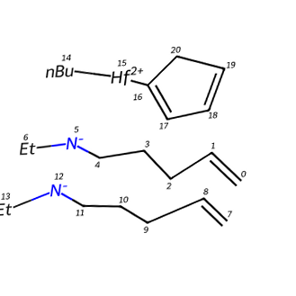 C=CCCC[N-]CC.C=CCCC[N-]CC.CCC[CH2][Hf+2][C]1=CC=CC1